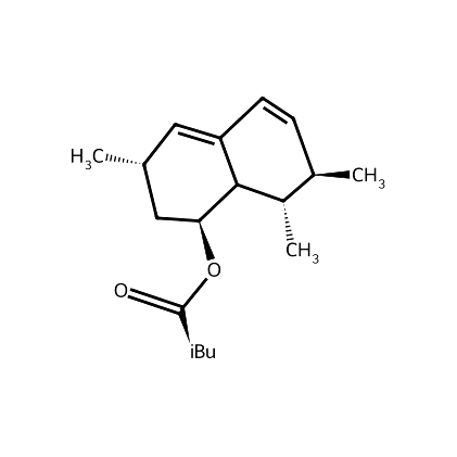 CC[C@H](C)C(=O)O[C@H]1C[C@H](C)C=C2C=C[C@@H](C)[C@H](C)C21